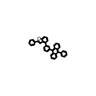 c1ccc(-c2cc3c(-c4cccc(-c5c6ccccc6c(-c6ccccc6)c6ccccc56)c4)cccc3o2)cc1